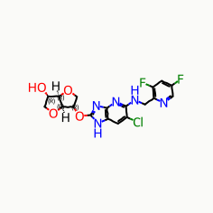 O[C@@H]1CO[C@H]2[C@@H]1OC[C@H]2Oc1nc2nc(NCc3ncc(F)cc3F)c(Cl)cc2[nH]1